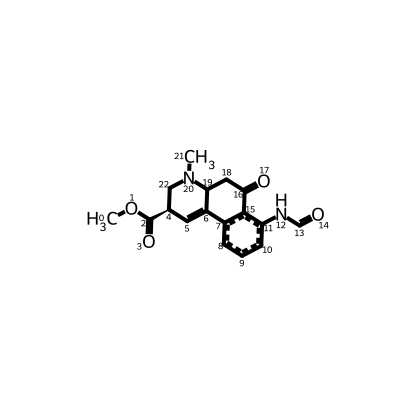 COC(=O)[C@@H]1C=C2c3cccc(NC=O)c3C(=O)CC2N(C)C1